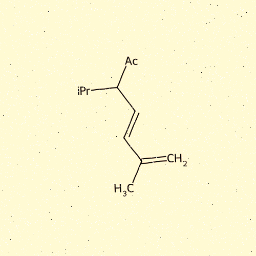 C=C(C)/C=C/C(C(C)=O)C(C)C